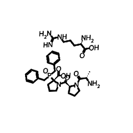 C[C@H](N)C(=O)N1CCC[C@H]1C(=O)N1CCC[C@]1(C(=O)O)P(=O)(Cc1ccccc1)Cc1ccccc1.N=C(N)NCCC[C@H](N)C(=O)O